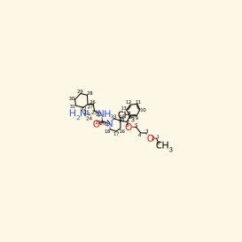 CCOCCCOC(c1ccccc1)C1(C)CCCN(C(=O)N[C@H](CN)CC2CCCCC2)C1